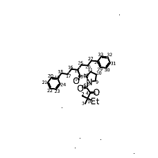 CCC(C)(C)C(=O)C(=O)N1CCC[C@H]1C(=O)C(CCCc1ccccc1)CCCc1ccccc1